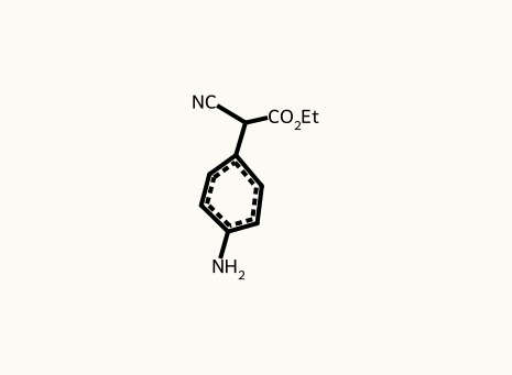 CCOC(=O)C(C#N)c1ccc(N)cc1